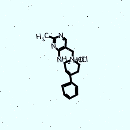 Cc1ncc(CN2CC=C(c3ccccc3)CC2)c(N)n1.Cl.Cl